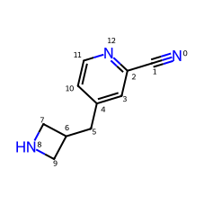 N#Cc1cc(CC2CNC2)ccn1